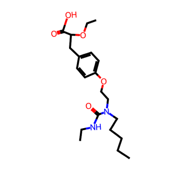 CCCCCN(CCOc1ccc(CC(OCC)C(=O)O)cc1)C(=O)NCC